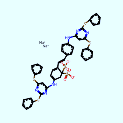 O=S(=O)([O-])C1(S(=O)(=O)[O-])CC(Nc2cc(Sc3ccccc3)nc(Sc3ccccc3)n2)=CC=C1C=Cc1ccc(Nc2cc(Sc3ccccc3)nc(Sc3ccccc3)n2)cc1.[Na+].[Na+]